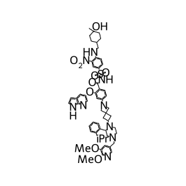 COc1cc(CN2CCN(C3CC4(C3)CN(c3ccc(C(=O)NS(=O)(=O)c5ccc(NCC6CCC(C)(O)CC6)c([N+](=O)[O-])c5)c(Oc5cnc6[nH]ccc6c5)c3)C4)C(c3ccccc3C(C)C)C2)cnc1OC